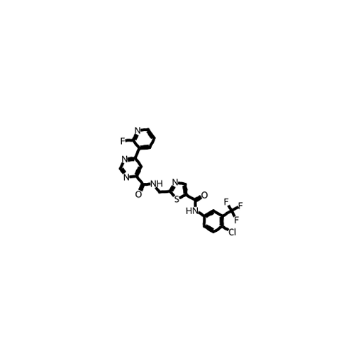 O=C(NCc1ncc(C(=O)Nc2ccc(Cl)c(C(F)(F)F)c2)s1)c1cc(-c2cccnc2F)ncn1